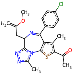 C=C(CC1N=C(c2ccc(Cl)cc2)c2c(sc(C(C)=O)c2C)-n2c(C)nnc21)OC